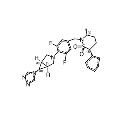 C[C@H]1CC[C@@H](c2ccccc2)S(=O)(=O)N1Cc1cc(F)c(N2C[C@@H]3[C@H](C2)[C@@H]3n2cnnc2)c(F)c1